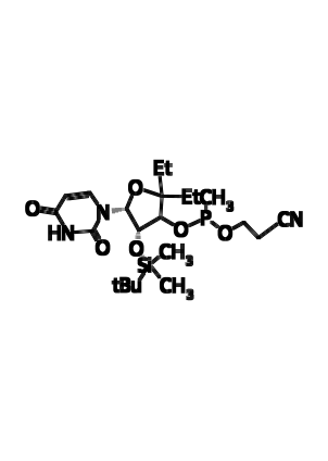 CCC1(CC)O[C@@H](n2ccc(=O)[nH]c2=O)[C@@H](O[Si](C)(C)C(C)(C)C)C1OP(C)OCCC#N